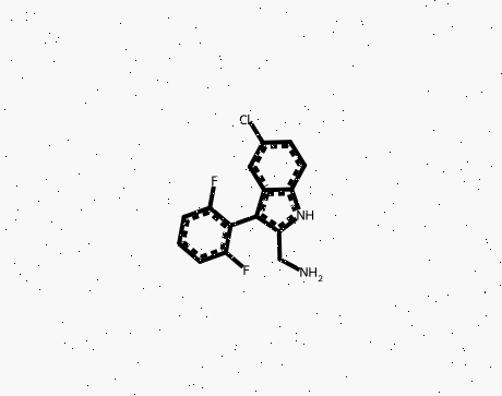 NCc1[nH]c2ccc(Cl)cc2c1-c1c(F)cccc1F